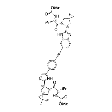 COC(=O)N[C@H](C(=O)N1C[C@]2(C[C@H]1c1ncc(-c3ccc(C#Cc4ccc5nc([C@@H]6CC7(CC7)CN6C(=O)[C@H](NC(=O)OC)C(C)C)[nH]c5c4)cc3)[nH]1)CC2(F)F)C(C)C